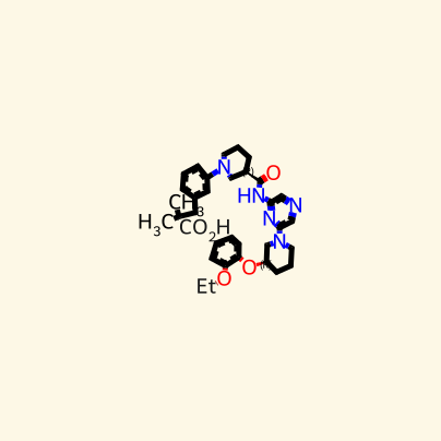 CCOc1ccccc1O[C@@H]1CCCN(c2cncc(NC(=O)[C@@H]3CCCN(c4cccc(CC(C)(C)C(=O)O)c4)C3)n2)C1